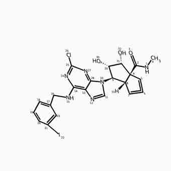 CNC(=O)[C@@]12C=C=C[C@@H]1[C@@H](n1cnc3c(NCc4cccc(I)c4)nc(Cl)nc31)[C@H](O)[C@@H]2O